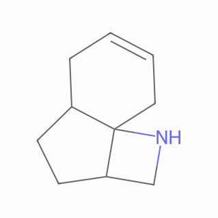 C1=CCC23NCC2CCC3C1